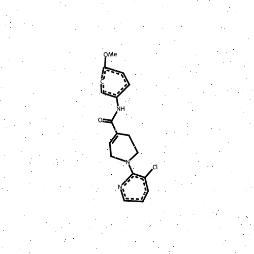 COc1ccc(NC(=O)C2=CCN(c3ncccc3Cl)CC2)cc1